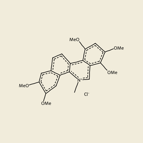 COc1cc2ccc3c4c(OC)cc(OC)c(OC)c4c[n+](C)c3c2cc1OC.[Cl-]